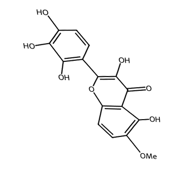 COc1ccc2oc(-c3ccc(O)c(O)c3O)c(O)c(=O)c2c1O